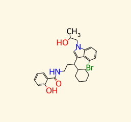 CC(O)Cn1cc(C(CCNC(=O)c2ccccc2O)C2CCCCC2)c2c(Br)cccc21